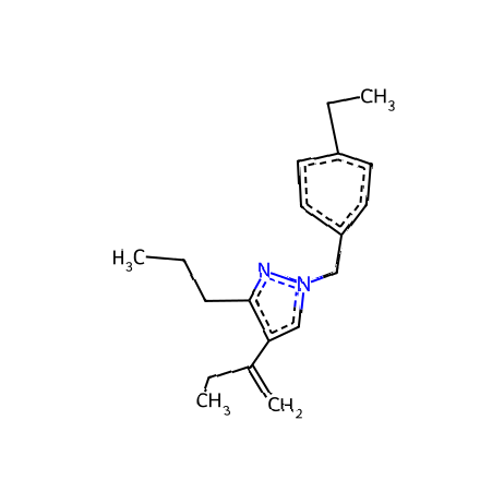 C=C(CC)c1cn(Cc2ccc(CC)cc2)nc1CCC